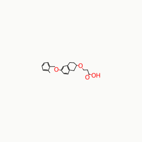 Cc1ccccc1COc1ccc2c(c1)CCC(OCCC(=O)O)C2